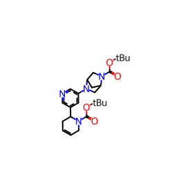 CC(C)(C)OC(=O)N1CC2CC1CN2c1cncc(C2CC=CCN2C(=O)OC(C)(C)C)c1